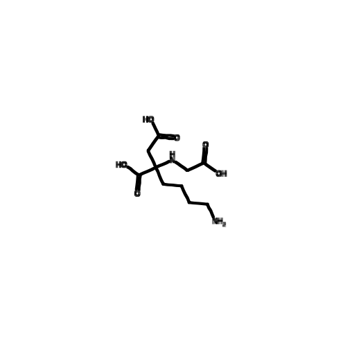 NCCCCC(CC(=O)O)(NCC(=O)O)C(=O)O